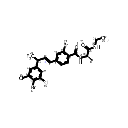 C[C@@H](NC(=O)c1ccc(/C=C/C(c2cc(Cl)c(Br)c(Cl)c2)C(F)(F)F)cc1Br)C(=O)NCC(F)(F)F